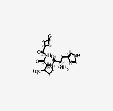 CC1CCN(C(=O)[C@@H](N)Cc2c[nH]cn2)[C@@H]1C(=O)NC(=O)C1CC(=O)C1